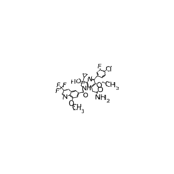 CCOc1c(CC(N)=O)cc([C@@](O)(CNC(=O)c2cc(OC)c3ncc(C(F)(F)F)cc3c2)C2CC2)nc1-c1ccc(Cl)c(F)c1